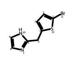 Brc1ccc(Cc2ncc[nH]2)s1